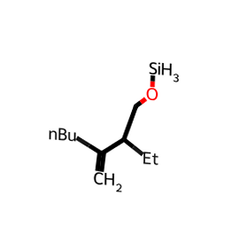 C=C(CCCC)C(CC)CO[SiH3]